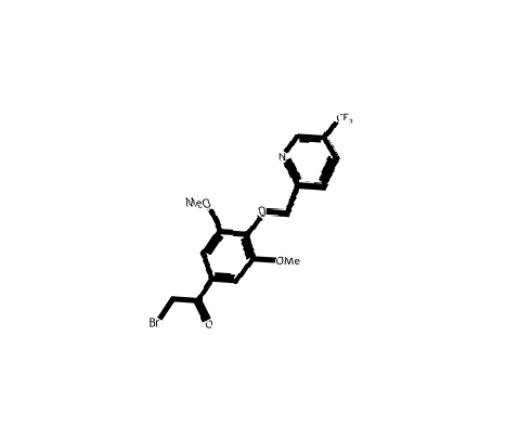 COc1cc(C(=O)CBr)cc(OC)c1OCc1ccc(C(F)(F)F)cn1